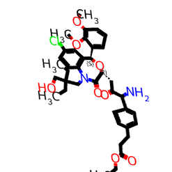 CCOC(=O)CCc1ccc(C(N)C(=O)C[C@H]2O[C@H](c3cccc(OC)c3OC)c3cc(Cl)ccc3N(CC(CC)(CC)CO)C2=O)cc1